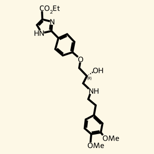 CCOC(=O)c1c[nH]c(-c2ccc(OC[C@H](O)CNCCc3ccc(OC)c(OC)c3)cc2)n1